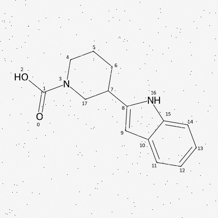 O=C(O)N1CCCC(c2cc3ccccc3[nH]2)C1